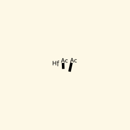 CC(C)=O.CC(C)=O.[Hf]